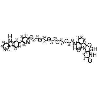 O=C1CCC(N2C(=O)c3cccc(NCCOCCOCCOCCOCCOc4ccc(-c5ccc6c(c5)[nH]c5ccncc56)cn4)c3C2=O)C(O)N1